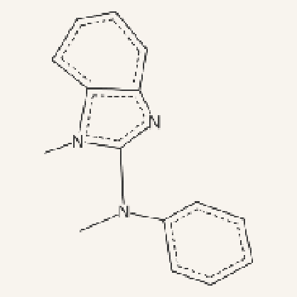 CN(c1ccccc1)c1nc2ccccc2n1C